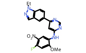 CCn1ncc2cc(-c3cc(Nc4cc([N+](=O)[O-])c(F)cc4OC)ncn3)ccc21